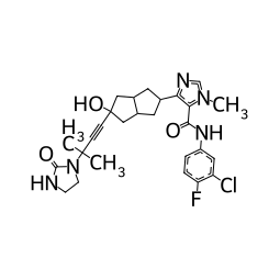 Cn1cnc(C2CC3CC(O)(C#CC(C)(C)N4CCNC4=O)CC3C2)c1C(=O)Nc1ccc(F)c(Cl)c1